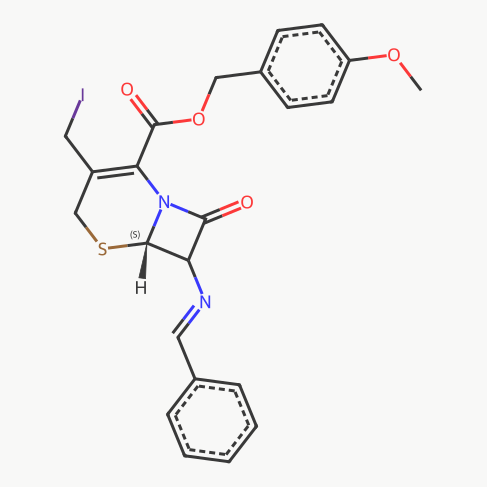 COc1ccc(COC(=O)C2=C(CI)CS[C@H]3C(N=Cc4ccccc4)C(=O)N23)cc1